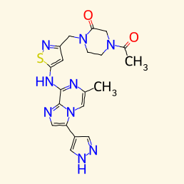 CC(=O)N1CCN(Cc2cc(Nc3nc(C)cn4c(-c5cn[nH]c5)cnc34)sn2)C(=O)C1